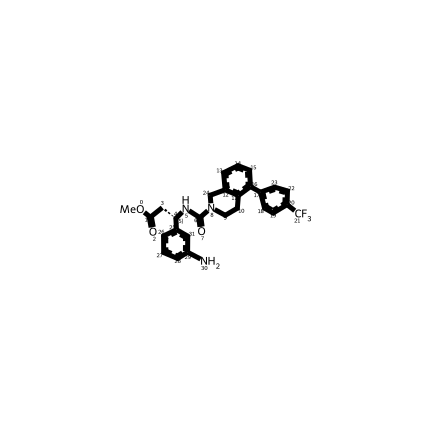 COC(=O)C[C@H](NC(=O)N1CCc2c(cccc2-c2ccc(C(F)(F)F)cc2)C1)c1cccc(N)c1